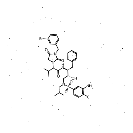 CC(C)CN(C[C@@H](O)[C@H](Cc1ccccc1)NC(=O)C(C(C)C)N1CC(=O)N(Cc2cccc(Br)c2)C1=O)S(=O)(=O)c1ccc(Cl)c(N)c1